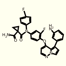 NC(=O)C1(C(=O)N(c2ccc(F)cc2)c2ccc(Oc3ccnn4ccc(-c5cccc(N)c5)c34)c(F)c2)CC1